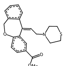 COC(=O)c1ccc2c(c1)C(=CCN1CCSCC1)c1ccccc1CO2